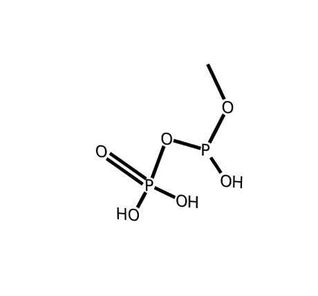 COP(O)OP(=O)(O)O